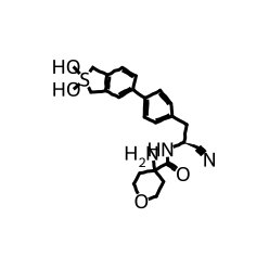 N#C[C@H](Cc1ccc(-c2ccc3c(c2)CS(O)(O)C3)cc1)NC(=O)C1(N)CCOCC1